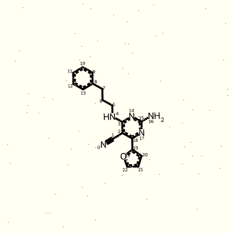 N#Cc1c(NCCCc2ccccc2)nc(N)nc1-c1ccco1